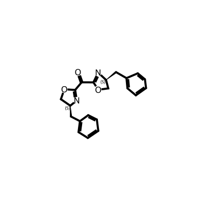 O=C(C1=N[C@@H](Cc2ccccc2)CO1)C1=N[C@@H](Cc2ccccc2)CO1